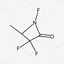 CC1N(F)C(=O)C1(F)F